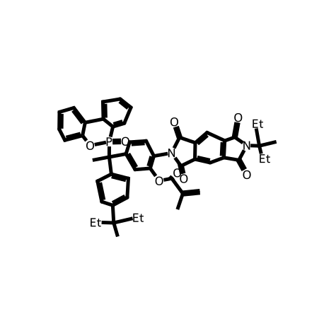 C=C(C)C(=O)Oc1cc(C(C)(c2ccc(C(C)(CC)CC)cc2)P2(=O)Oc3ccccc3-c3ccccc32)ccc1-n1c(=O)c2cc3c(=O)n(C(C)(CC)CC)c(=O)c3cc2c1=O